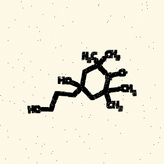 CC1(C)CC(O)(CCCO)CC(C)(C)N1[O]